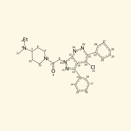 CCN(C)C1CCN(C(=O)Cn2nc(-c3ccccc3)c3c(Cl)c(-c4ccccc4)nnc32)CC1